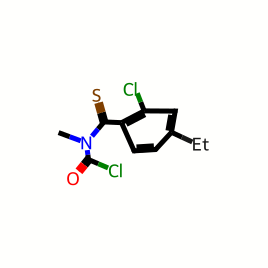 CCc1ccc(C(=S)N(C)C(=O)Cl)c(Cl)c1